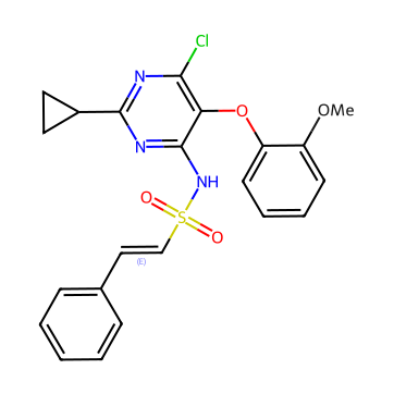 COc1ccccc1Oc1c(Cl)nc(C2CC2)nc1NS(=O)(=O)/C=C/c1ccccc1